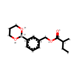 CCC(C)C(=O)OCc1cccc(B2OCCCO2)c1